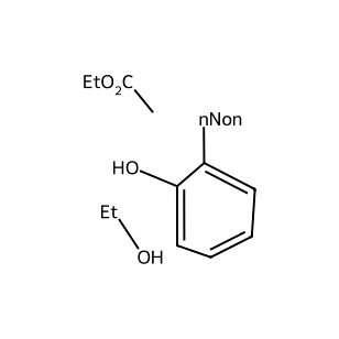 CCCCCCCCCc1ccccc1O.CCO.CCOC(C)=O